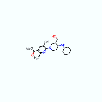 COC(=O)c1cc(C#N)c(N2CCC(NC3CCCCC3)C(CO)C2)nc1C